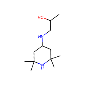 [CH2]C(O)CNC1CC(C)(C)NC(C)(C)C1